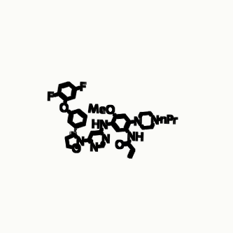 C=CC(=O)Nc1cc(Nc2cc(N3OCC[C@@H]3c3cccc(Oc4cc(F)ccc4F)c3)ncn2)c(OC)cc1N1CCN(CCC)CC1